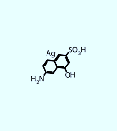 Nc1ccc2cc(S(=O)(=O)O)cc(O)c2c1.[Ag]